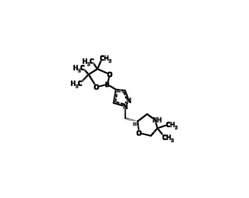 CC1(C)CO[C@H](Cn2cc(B3OC(C)(C)C(C)(C)O3)cn2)CN1